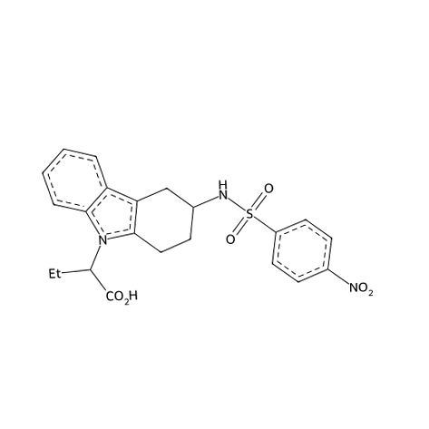 CCC(C(=O)O)n1c2c(c3ccccc31)CC(NS(=O)(=O)c1ccc([N+](=O)[O-])cc1)CC2